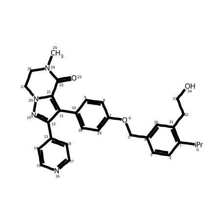 CC(C)c1ccc(COc2ccc(-c3c(-c4ccncc4)nn4c3C(=O)N(C)CC4)cc2)cc1CCO